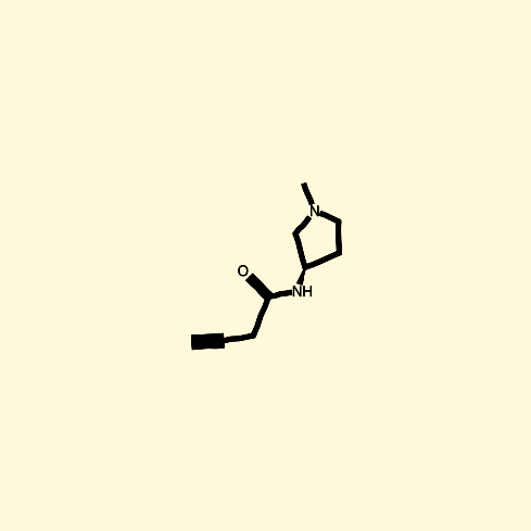 C#CCC(=O)N[C@@H]1CCN(C)C1